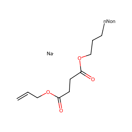 C=CCOC(=O)CCC(=O)OCCCCCCCCCCCC.[Na]